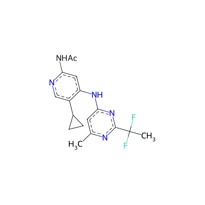 CC(=O)Nc1cc(Nc2cc(C)nc(C(C)(F)F)n2)c(C2CC2)cn1